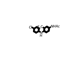 CC(=O)Nc1ccc(Nc2ccc(Cl)cc2)c(C(F)(F)F)c1